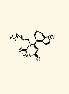 NCCn1c(-c2cccc3[nH]ccc23)cc(=O)[nH]c1=S